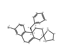 Brc1ccc2c(c1)CC=C1CC3(CC[C@]12Cc1ccccc1)OCCO3